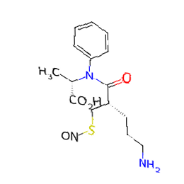 C[C@@H](C(=O)O)N(C(=O)[C@H](CCCN)CSN=O)c1ccccc1